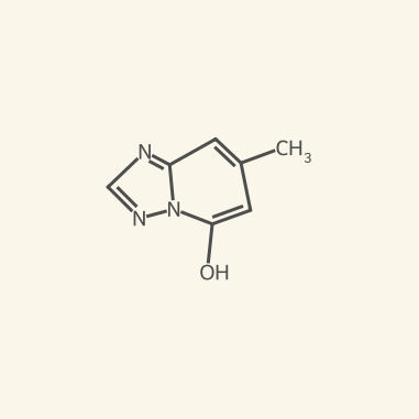 Cc1cc(O)n2ncnc2c1